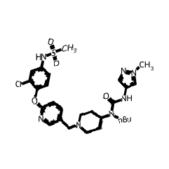 CCCCN(C(=O)Nc1cnn(C)c1)C1CCN(Cc2ccc(Oc3ccc(NS(C)(=O)=O)cc3Cl)nc2)CC1